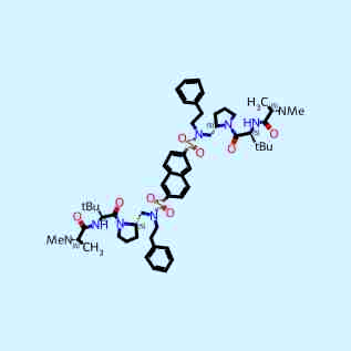 CN[C@@H](C)C(=O)N[C@H](C(=O)N1CCC[C@H]1CN(CCc1ccccc1)S(=O)(=O)c1ccc2cc(S(=O)(=O)N(CCc3ccccc3)C[C@@H]3CCCN3C(=O)[C@@H](NC(=O)[C@H](C)NC)C(C)(C)C)ccc2c1)C(C)(C)C